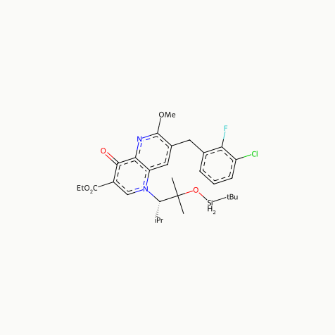 CCOC(=O)c1cn([C@@H](C(C)C)C(C)(C)O[SiH2]C(C)(C)C)c2cc(Cc3cccc(Cl)c3F)c(OC)nc2c1=O